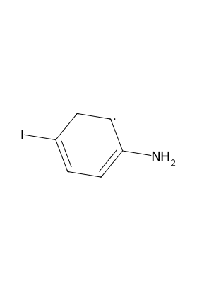 NC1=CC=C(I)C[CH]1